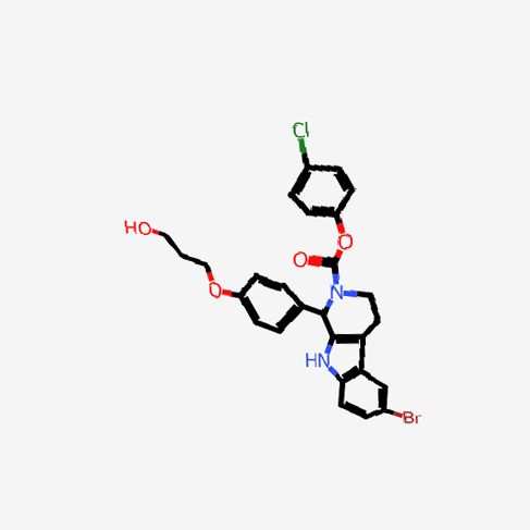 O=C(Oc1ccc(Cl)cc1)N1CCc2c([nH]c3ccc(Br)cc23)C1c1ccc(OCCCO)cc1